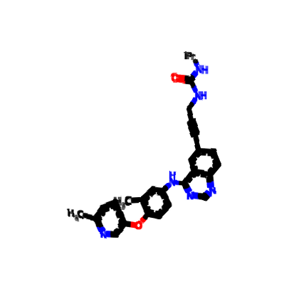 Cc1ccc(Oc2ccc(Nc3ncnc4ccc(C#CCNC(=O)NC(C)C)cc34)cc2C)cn1